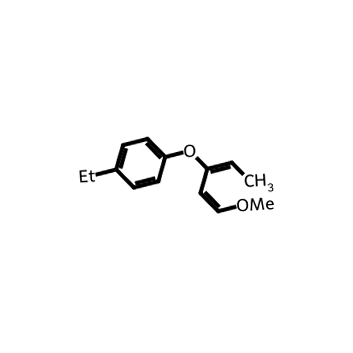 C/C=C(\C=C/OC)Oc1ccc(CC)cc1